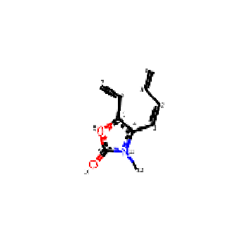 C=C/C=C\c1c(C=C)oc(=O)n1C